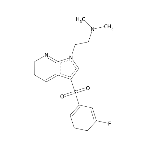 CN(C)CCn1cc(S(=O)(=O)C2=CCCC(F)=C2)c2c1=NCCC=2